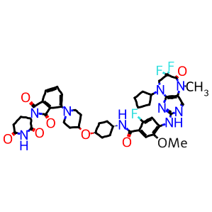 COc1cc(C(=O)N[C@H]2CC[C@H](OC3CCN(c4cccc5c4C(=O)N(C4CCC(=O)NC4=O)C5=O)CC3)CC2)c(F)cc1Nc1ncc2c(n1)N(C1CCCC1)CC(F)(F)C(=O)N2C